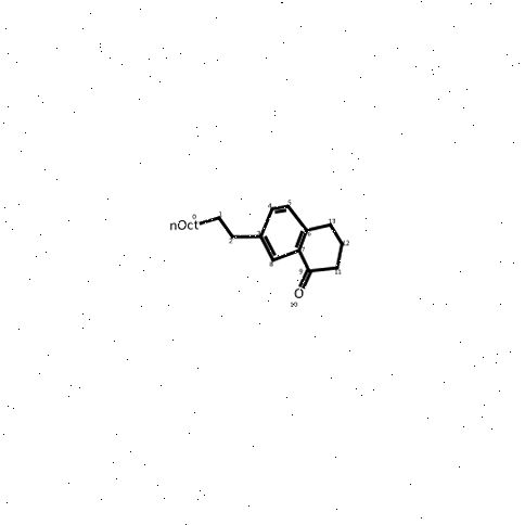 CCCCCCCCCCc1ccc2c(c1)C(=O)CCC2